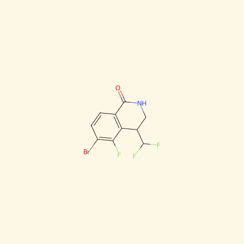 O=C1NCC(C(F)F)c2c1ccc(Br)c2F